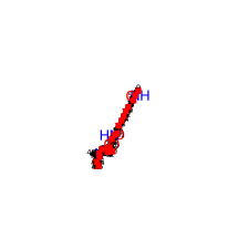 CCCNC(=O)CCCCCCCCCCCCCCC(=O)NCCC(=O)Oc1cccc2c1CCC(N(CCC)CCc1cccs1)C2